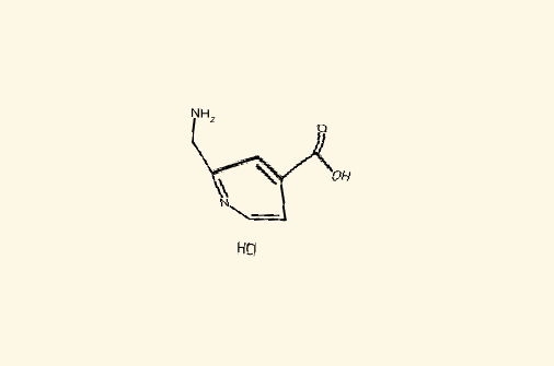 Cl.NCc1cc(C(=O)O)ccn1